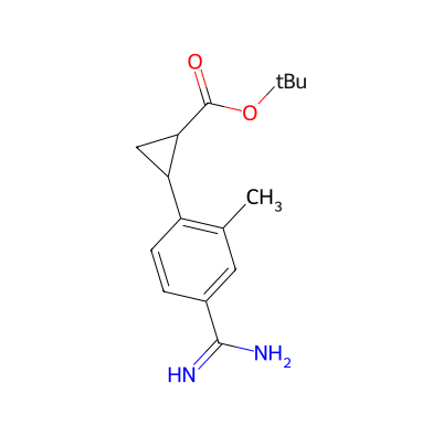 Cc1cc(C(=N)N)ccc1C1CC1C(=O)OC(C)(C)C